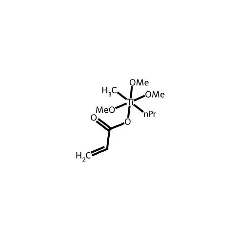 C=CC(=O)[O][Ti]([CH3])([CH2]CC)([O]C)([O]C)[O]C